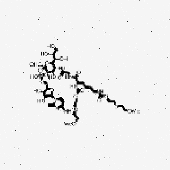 C=C1N=C(N)C=CN1C1OC(COP(=O)(O)O[C@@]2(C=O)C[C@@H](O)[C@@H](NC(=O)CNC(=O)C(CCCCNC(=O)OCCOCCOC)NC(=O)OCCOCCOC)C([C@H](O)[C@H](O)CO)O2)[C@@H](O)[C@H]1O